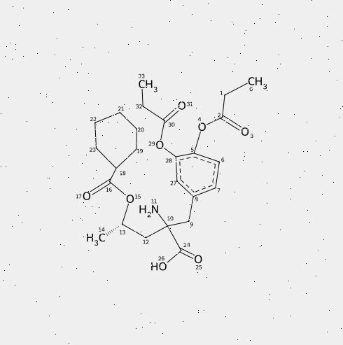 CCC(=O)Oc1ccc(CC(N)(C[C@H](C)OC(=O)C2CCCCC2)C(=O)O)cc1OC(=O)CC